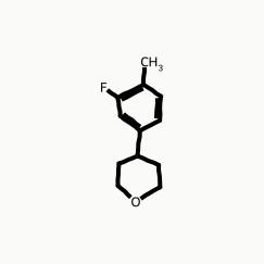 Cc1ccc(C2CCOCC2)cc1F